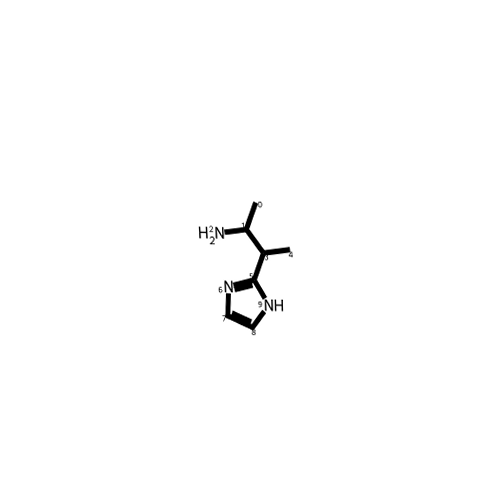 CC(N)C(C)c1ncc[nH]1